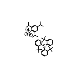 CC(C)(C)c1ccccc1[S+](c1ccccc1C(C)(C)C)c1ccccc1C(C)(C)C.CC(C)c1cc(C(C)C)c(S(=O)(=O)[O-])c(C(C)C)c1